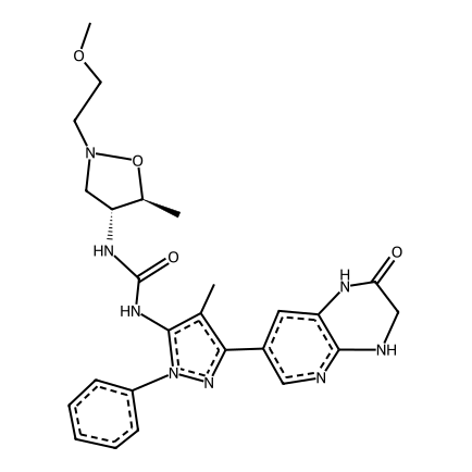 COCCN1C[C@@H](NC(=O)Nc2c(C)c(-c3cnc4c(c3)NC(=O)CN4)nn2-c2ccccc2)[C@H](C)O1